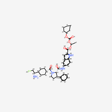 CC(OC(=O)OC1CCCCC1)OC(=O)c1cc2cc(NC(=O)[C@@H]3[C@@H](c4ccccc4)CCN3C(=O)[C@H]3CC[C@H]([C@H](N)CF)CC3)ccc2[nH]1